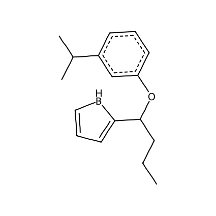 CCCC(Oc1cccc(C(C)C)c1)C1=CC=CB1